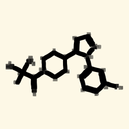 CC(O)(C(=O)N1CCC(c2ccnn2-c2cccc(F)c2)CC1)C(F)(F)F